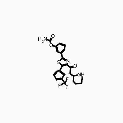 NC(=O)Oc1cccc(-c2nc(C(=O)[CH]C3CCCCN3)c(-c3cccc(C(F)(F)F)c3)s2)c1